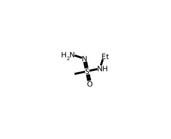 CCNS(C)(=O)=NN